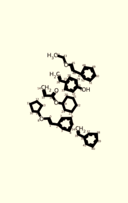 C(=Cc1ccccc1)OC1CCCC1.C=CC(=O)OC1CCCCC1.C=Cc1ccc(O)cc1.C=Cc1ccccc1.CCOC=Cc1ccccc1